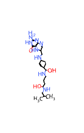 CC(C)CN[C@@H](O)CCCN[C@@H](O)C1C=C[C@@H](NCC2C=Nc3nc(N)[nH]c(=O)c3N2)CC1